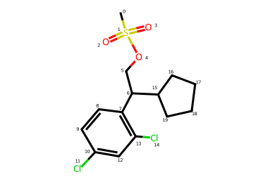 CS(=O)(=O)OCC(c1ccc(Cl)cc1Cl)C1CCCC1